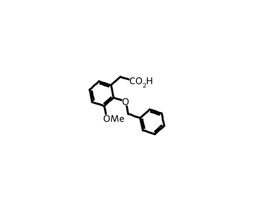 COc1cccc(CC(=O)O)c1OCc1ccccc1